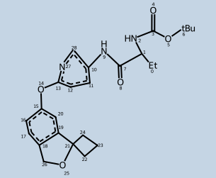 CCC(NC(=O)OC(C)(C)C)C(=O)Nc1ccc(Oc2ccc3c(c2)C2(CCC2)OC3)nc1